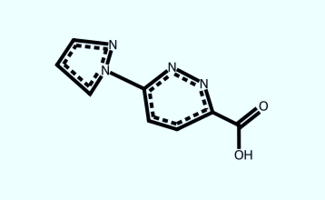 O=C(O)c1ccc(-n2cccn2)nn1